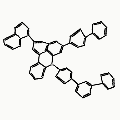 c1ccc(-c2ccc(-c3cccc(N(c4ccc(-c5cccc(-c6ccccc6)c5)cc4)c4ccccc4-c4cccc(-c5cccc6ccccc56)c4)c3)cc2)cc1